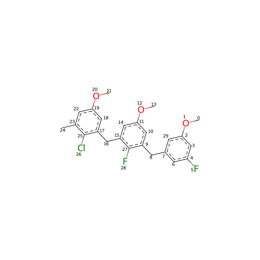 COc1cc(F)cc(Cc2cc(OC)cc(Cc3cc(OC)cc(C)c3Cl)c2F)c1